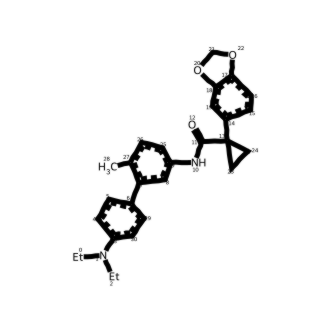 CCN(CC)c1ccc(-c2cc(NC(=O)C3(c4ccc5c(c4)OCO5)CC3)ccc2C)cc1